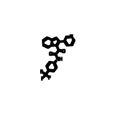 O=C(Nc1ccc(C(F)(F)F)cc1)C(=O)c1c(-c2cccnc2)cc2ccccn12